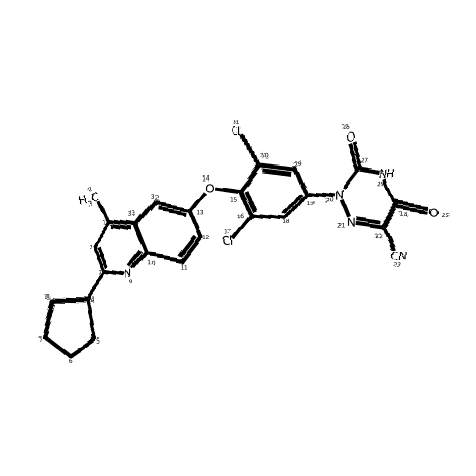 Cc1cc(C2CCCC2)nc2ccc(Oc3c(Cl)cc(-n4nc(C#N)c(=O)[nH]c4=O)cc3Cl)cc12